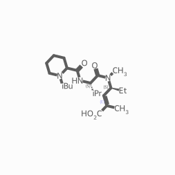 CCC(C)N1CCCCC1C(=O)N[C@H](C(=O)N(C)[C@H](/C=C(\C)C(=O)O)CC)C(C)C